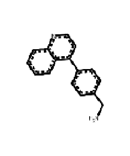 NCc1ccc(-c2ccnc3ccccc23)cc1